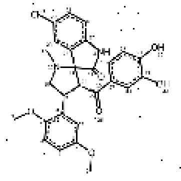 COc1ccc(OC)c([C@H]2CN(C)C3(C(=O)Nc4ccc(Cl)cc43)[C@H]2C(=O)c2ccc(O)c(O)c2)c1